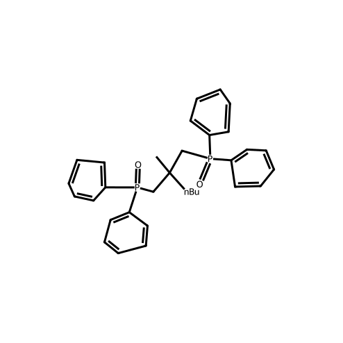 CCCCC(C)(CP(=O)(c1ccccc1)c1ccccc1)CP(=O)(c1ccccc1)c1ccccc1